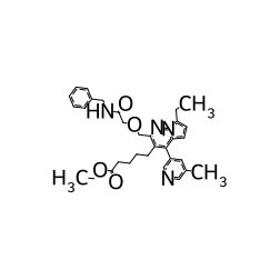 CCOC(=O)CCCCc1c(COCC(=O)NCc2ccccc2)nn2c(CC)ccc2c1-c1cncc(C)c1